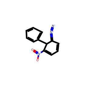 [N-]=[N+]=C1[C]=CC=C([N+](=O)[O-])C1c1ccccc1